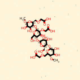 CO[C@@H]1O[C@@H](COCC(=O)O)[C@@H](O[C@@H]2OC(CO)[C@@H](O[C@@H]3O[C@@H](CO)[C@@H](O[C@@H]4OC(COCC(=O)O)[C@@H](OC)C(O)[C@@H]4O)C(O)C3O)C(O)[C@@H]2OCC(=O)O)C(O)C1O